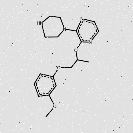 COc1cccc(OCC(C)Oc2nccnc2N2CCNCC2)c1